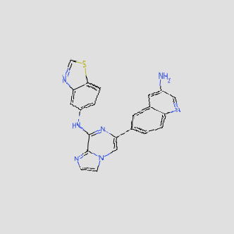 Nc1cnc2ccc(-c3cn4ccnc4c(Nc4ccc5scnc5c4)n3)cc2c1